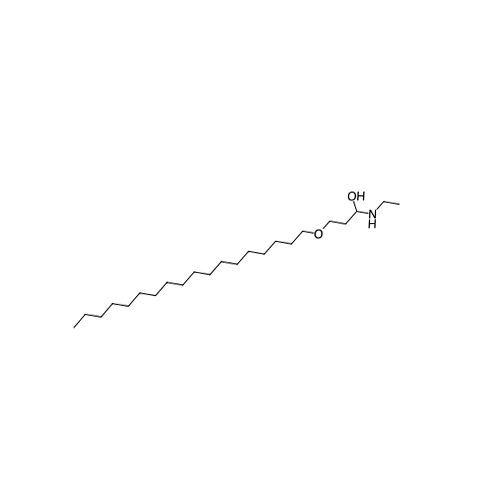 CCCCCCCCCCCCCCCCCCOCCC(O)NCC